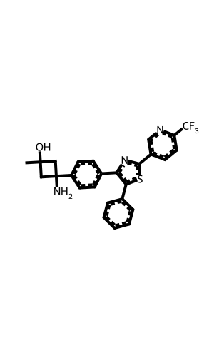 CC1(O)CC(N)(c2ccc(-c3nc(-c4ccc(C(F)(F)F)nc4)sc3-c3ccccc3)cc2)C1